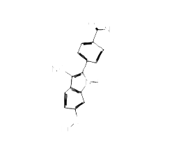 CCOc1ccc2c(C#N)c(-c3ccc(C(N)=O)cc3)n(CC)c2c1